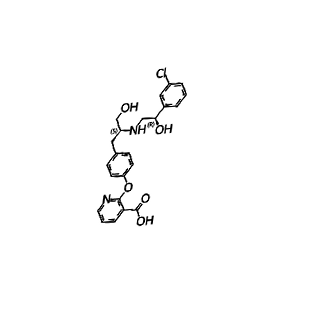 O=C(O)c1cccnc1Oc1ccc(C[C@@H](CO)NC[C@H](O)c2cccc(Cl)c2)cc1